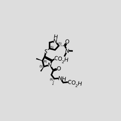 C[C@H](CC(=O)N1C(C(=O)O)=C(S[C@@H]2CN[C@H](C(=O)N(C)C)C2)[C@H](C)[C@@H]1C)NCC(=O)O